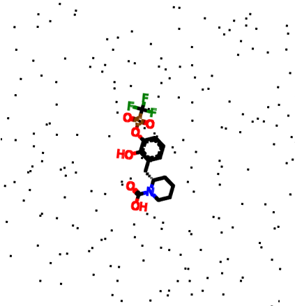 O=C(O)N1CCCC[C@H]1Cc1cccc(OS(=O)(=O)C(F)(F)F)c1O